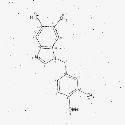 COc1ccc(Cn2cnc3cc(C)c(C)cc32)cc1C